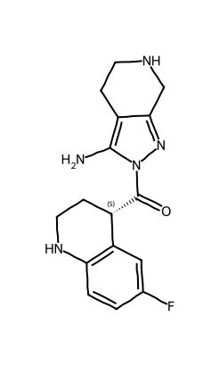 Nc1c2c(nn1C(=O)[C@H]1CCNc3ccc(F)cc31)CNCC2